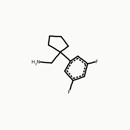 NCC1(c2cc(F)cc(F)c2)CCCC1